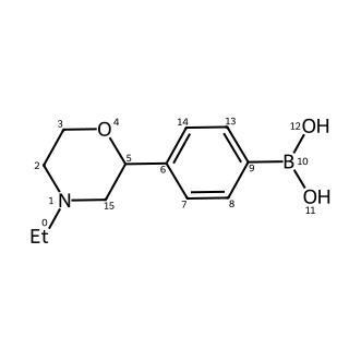 CCN1CCOC(c2ccc(B(O)O)cc2)C1